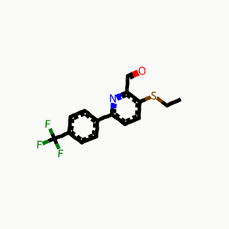 CCSc1ccc(-c2ccc(C(F)(F)F)cc2)nc1C=O